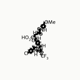 COCc1ccc(NC(=O)C(=O)NCC[C@H](NC(=O)c2ccc(Nc3nc(NC4(c5ccc(Cl)cc5)CC4)nc(OCC(F)(F)F)n3)cc2)C(=O)O)cc1